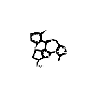 Cc1nnc2n1-c1sc3c(c1C(c1c(F)cccc1Cl)=NC2)CCC3C(=O)O